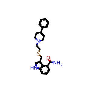 NC(=O)c1cccc2[nH]cc(CSCCN3CC=C(c4ccccc4)CC3)c12